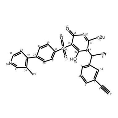 C#Cc1cccc(C(C(C)C)n2c(CCCC)nc(=O)c(S(=O)(=O)c3ccc(-c4ccncc4C)cc3)c2O)c1